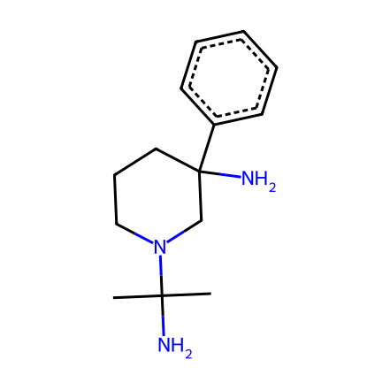 CC(C)(N)N1CCCC(N)(c2ccccc2)C1